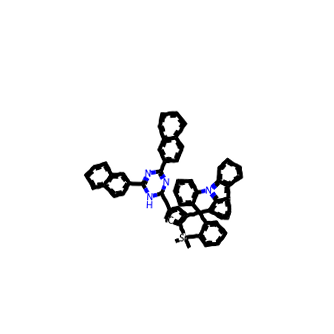 C[Si]1(C)c2ccccc2C2(c3ccccc3-n3c4ccccc4c4cccc2c43)c2cc(C3N=C(c4ccc5ccccc5c4)N=C(c4ccc5ccccc5c4)N3)ccc21